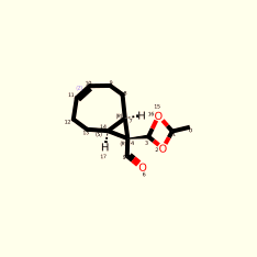 CC1OC([C@]2(C=O)[C@@H]3CC/C=C\CC[C@@H]32)O1